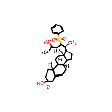 CC[C@]1(O)CC[C@H]2C(=CC[C@@H]3C2CC[C@]2(C)[C@@H]([C@H](C)C(CC(O)C(C)(C)C)S(=O)(=O)c4ccccc4)CC[C@@H]32)C1